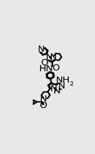 Nc1ncnn2c(C3CCN(C(=O)C4CC4)CC3)cc(-c3ccc(NC(=O)c4c5n(n(-c6ccncc6)c4=O)CCCC5)cc3)c12